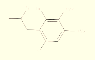 COc1cc(Br)c(CC(C)N)c(Br)c1OC